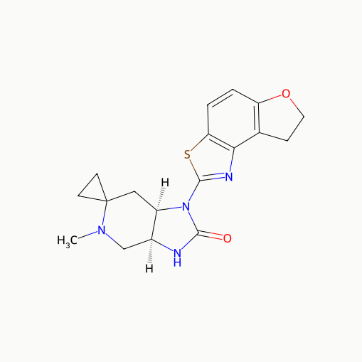 CN1C[C@@H]2NC(=O)N(c3nc4c5c(ccc4s3)OCC5)[C@@H]2CC12CC2